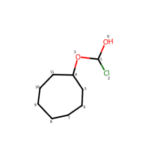 OC(Cl)OC1CCCCCCC1